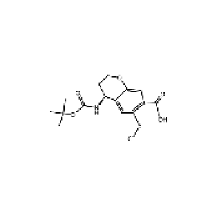 CC(C)(C)OC(=O)N[C@H]1CCOc2cc(C(=O)O)c(SCl)cc21